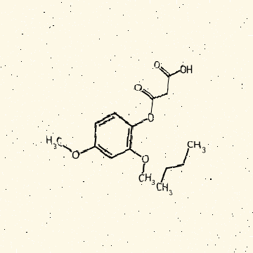 CCCC.COc1ccc(OC(=O)CC(=O)O)c(OC)c1